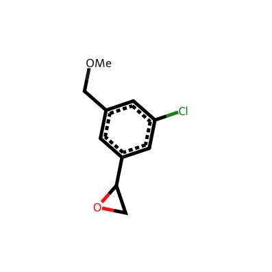 COCc1cc(Cl)cc(C2CO2)c1